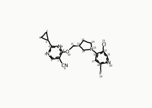 N#Cc1cnc(C2CC2)nc1OC[C@H]1CCN(c2cc(F)ncc2Cl)C1